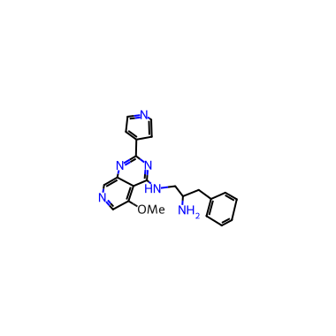 COc1cncc2nc(-c3ccncc3)nc(NCC(N)Cc3ccccc3)c12